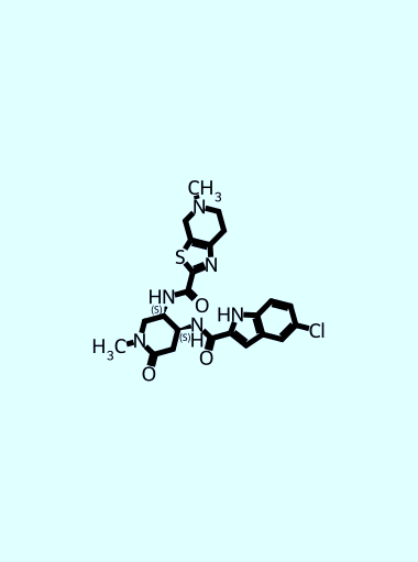 CN1CCc2nc(C(=O)N[C@H]3CN(C)C(=O)C[C@@H]3NC(=O)c3cc4cc(Cl)ccc4[nH]3)sc2C1